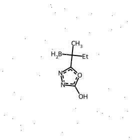 BC(C)(CC)c1nnc(O)o1